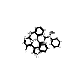 CC(C)(C)N(C(=O)OC(=O)Nc1ccccc1Nc1ncc(Cl)c(-c2c[nH]c3ccccc23)n1)C1CCCCC1